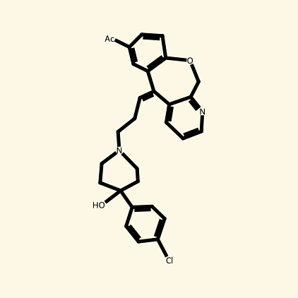 CC(=O)c1ccc2c(c1)/C(=C/CCN1CCC(O)(c3ccc(Cl)cc3)CC1)c1cccnc1CO2